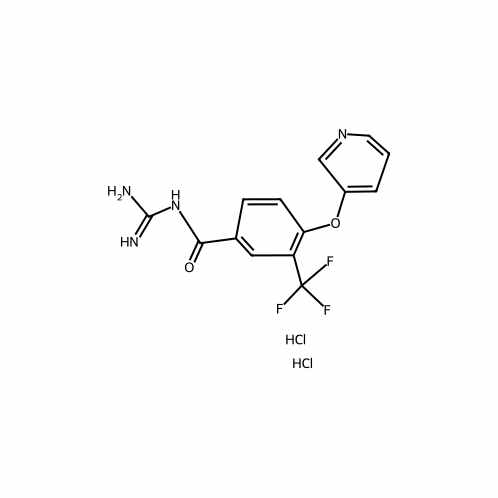 Cl.Cl.N=C(N)NC(=O)c1ccc(Oc2cccnc2)c(C(F)(F)F)c1